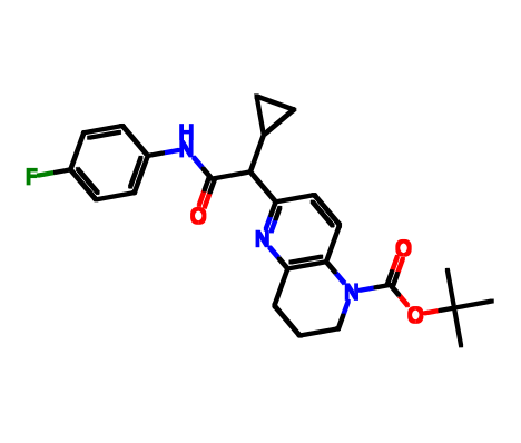 CC(C)(C)OC(=O)N1CCCc2nc(C(C(=O)Nc3ccc(F)cc3)C3CC3)ccc21